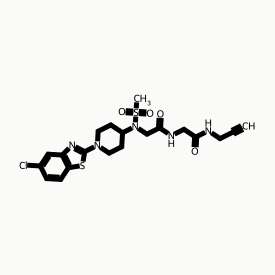 C#CCNC(=O)CNC(=O)CN(C1CCN(c2nc3cc(Cl)ccc3s2)CC1)S(C)(=O)=O